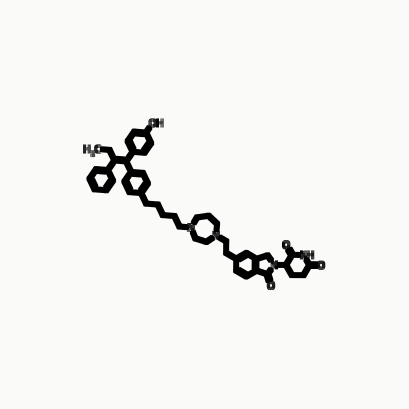 CCC(=C(c1ccc(O)cc1)c1ccc(CCCCCN2CCCN(CCc3ccc4c(c3)CN(C3CCC(=O)NC3=O)C4=O)CC2)cc1)c1ccccc1